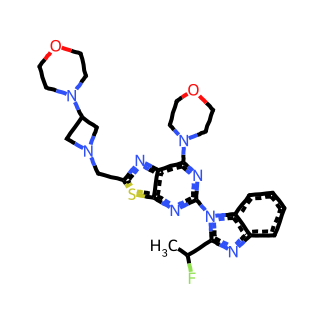 CC(F)c1nc2ccccc2n1-c1nc(N2CCOCC2)c2nc(CN3CC(N4CCOCC4)C3)sc2n1